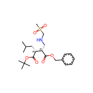 CC(C)C[C@@H](C(=O)OC(C)(C)C)[C@H](CNCS(C)(=O)=O)C(=O)OCc1ccccc1